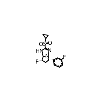 O=S(=O)(C1=NN2C(N1)[C@@H](F)C[C@H]2c1cccc(F)c1)C1CC1